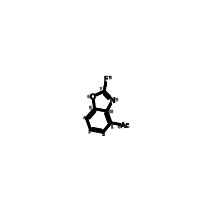 CC(=O)c1cccc2oc(F)nc12